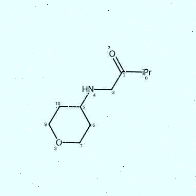 CC(C)C(=O)CNC1CCOCC1